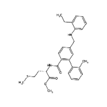 CCc1ccccc1NCc1ccc(C(=O)N[C@@H](CCSC)C(=O)OC)c(-c2ccccc2C)c1